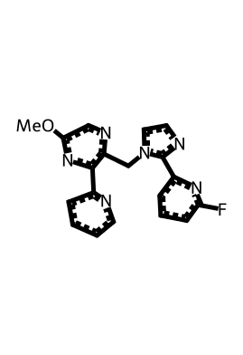 COc1cnc(Cn2ccnc2-c2cccc(F)n2)c(-c2ccccn2)n1